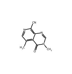 Cc1cnc(C#N)c2ncn(C)c(=O)c12